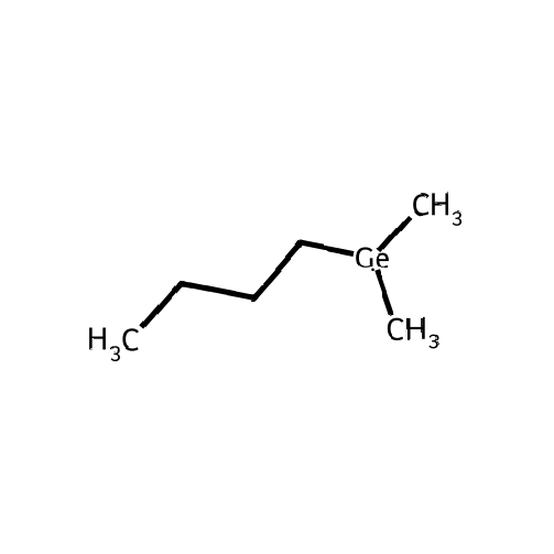 CCC[CH2][Ge]([CH3])[CH3]